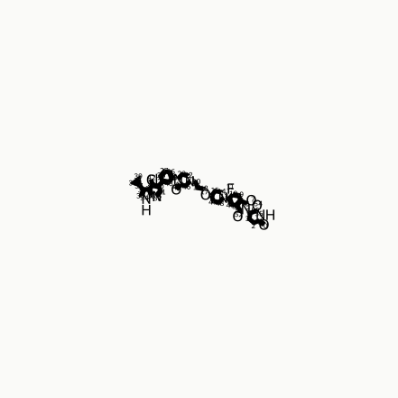 O=C1CCC(N2C(=O)c3cc(F)c(N4CCC(OCCCN5CCN(c6cccc(-c7cnc8[nH]cc(C9CC9)c8c7Cl)c6)C(=O)C5)CC4)cc3C2=O)C(=O)N1